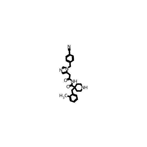 Cc1ccccc1CC1(C(=O)NC(=O)Cc2cncn2Cc2ccc(C#N)cc2)CCNCC1